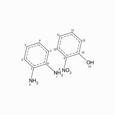 Nc1ccccc1N.O=[N+]([O-])c1ccccc1O